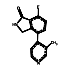 Cc1cnccc1-c1ccc(F)c2c1CNC2=O